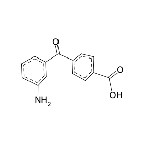 Nc1cccc(C(=O)c2ccc(C(=O)O)cc2)c1